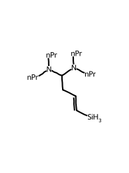 CCCN(CCC)C(CC=C[SiH3])N(CCC)CCC